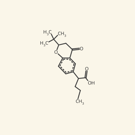 CCCC(C(=O)O)c1ccc2c(c1)C(=O)CC(C(C)(C)C)O2